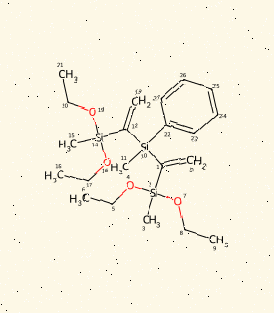 C=C([Si](C)(OCC)OCC)[Si](C)(C(=C)[Si](C)(OCC)OCC)c1ccccc1